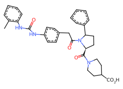 Cc1ccccc1NC(=O)Nc1ccc(CC(=O)N2C(c3ccccc3)CC[C@H]2C(=O)N2CCC(C(=O)O)CC2)cc1